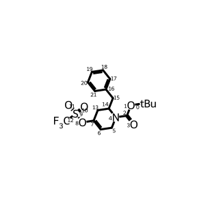 CC(C)(C)OC(=O)N1CC=C(OS(=O)(=O)C(F)(F)F)CC1Cc1ccccc1